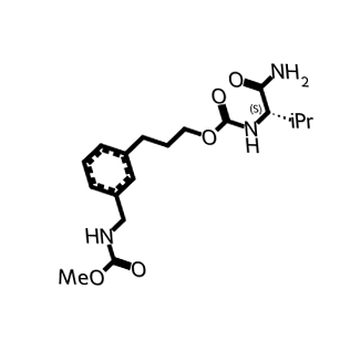 COC(=O)NCc1cccc(CCCOC(=O)N[C@H](C(N)=O)C(C)C)c1